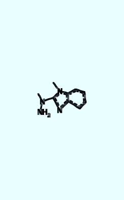 CN(N)c1nc2ccccc2n1C